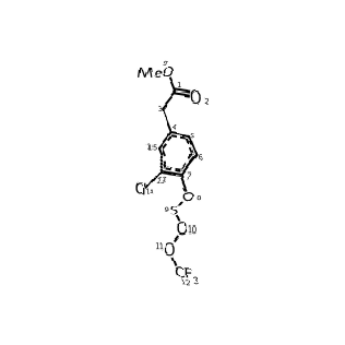 COC(=O)Cc1ccc(OSOOC(F)(F)F)c(Cl)c1